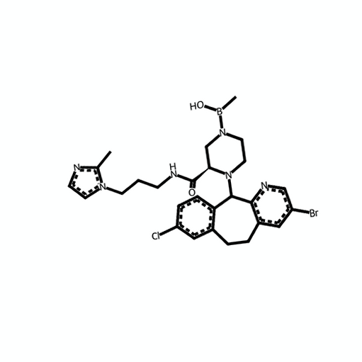 CB(O)N1CCN(C2c3ccc(Cl)cc3CCc3cc(Br)cnc32)[C@@H](C(=O)NCCCn2ccnc2C)C1